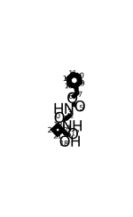 O=C(CNC(=O)OCc1ccccc1)NC1(C(=O)O)CCC1